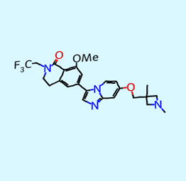 COc1cc(-c2cnc3cc(OCC4(C)CN(C)C4)ccn23)cc2c1C(=O)N(CC(F)(F)F)CC2